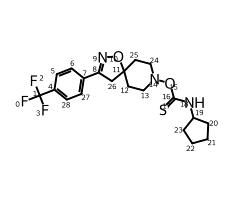 FC(F)(F)c1ccc(C2=NOC3(CCN(OC(=S)NC4CCCC4)CC3)C2)cc1